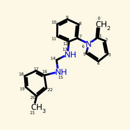 C=C1C=CC=CN1c1ccccc1NCNc1cccc(C)c1